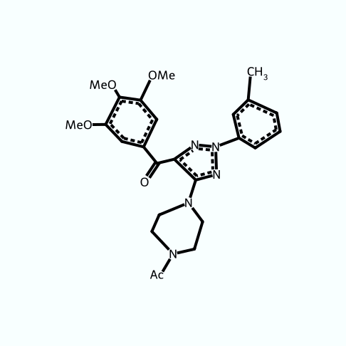 COc1cc(C(=O)c2nn(-c3cccc(C)c3)nc2N2CCN(C(C)=O)CC2)cc(OC)c1OC